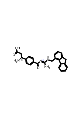 N/C(=N\C(=O)c1ccc([C@@H](N)CC(=O)O)cc1)NCc1cccc2c1-c1ccccc1C2